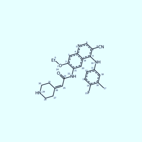 CCOc1cc2ncc(C#N)c(Nc3ccc(F)c(C)c3)c2cc1NC(=O)C=C1CCNCC1